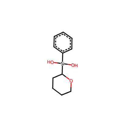 O[Si](O)(c1ccccc1)C1CCCCO1